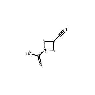 N#CC1CN(C(=O)O)C1